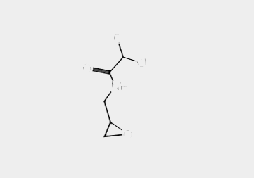 O=C(NCC1CO1)C(Cl)Cl